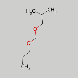 CCCO[CH]OCC(C)C